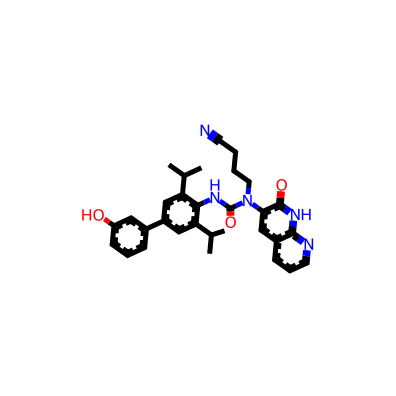 CC(C)c1cc(-c2cccc(O)c2)cc(C(C)C)c1NC(=O)N(CCCC#N)c1cc2cccnc2[nH]c1=O